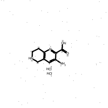 Cl.Cl.Nc1cc2c(nc1C(=O)O)CCNC2